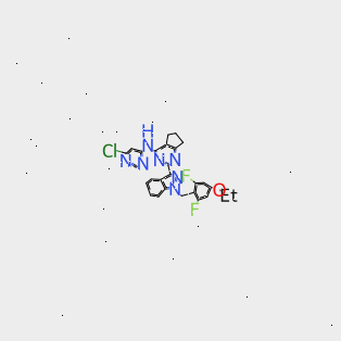 CCOc1cc(F)c(Cn2nc(-c3nc4c(c(Nc5cc(Cl)ncn5)n3)CCC4)c3ccccc32)c(F)c1